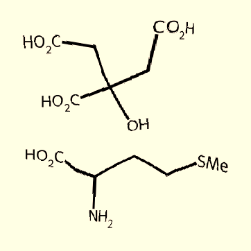 CSCCC(N)C(=O)O.O=C(O)CC(O)(CC(=O)O)C(=O)O